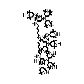 CC1(C)CC(ON2N=C(N(C3CC(C)(C)NC(C)(C)C3)C3CC(C)(C)NC(C)(C)C3)C=C(NCCCCCCN(CCCCCCNC3=CC(N(C4CC(C)(C)NC(C)(C)C4)C4CC(C)(C)NC(C)(C)C4)=NN(OC4CC(C)(C)NC(C)(C)C4)N3)C3=CC(N(C4CC(C)(C)NC(C)(C)C4)C4CC(C)(C)NC(C)(C)C4)=NN(OC4CC(C)(C)NC(C)(C)C4)N3)N2)CC(C)(C)N1